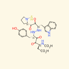 O=C(O)C[C@H](NC(=O)O)C(=O)C(=O)[C@H](Cc1ccc(O)cc1)NN[C@@H](Cc1c[nH]c2ccccc12)C(=O)C(=O)[C@@H]1CCCN1S